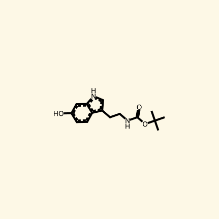 CC(C)(C)OC(=O)NCCc1c[nH]c2cc(O)ccc12